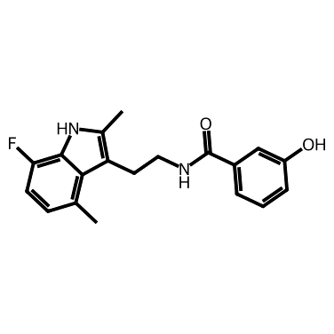 Cc1[nH]c2c(F)ccc(C)c2c1CCNC(=O)c1cccc(O)c1